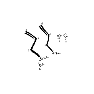 C=C[CH2][Sn+3].C=C[CH2][Sn+3].[S-2].[S-2].[S-2]